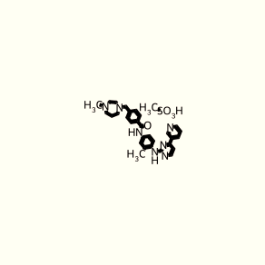 CS(=O)(=O)O.Cc1cc(NC(=O)c2ccc(CN3CCCN(C)CC3)cc2)ccc1Nc1nccc(-c2cccnc2)n1